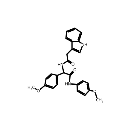 COc1ccc(NC(=O)C(NC(=O)Cc2c[nH]c3ccccc23)c2ccc(OC)cc2)cc1